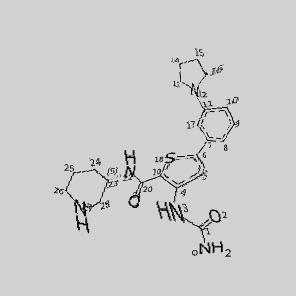 NC(=O)Nc1cc(-c2cccc(N3CCCC3)c2)sc1C(=O)N[C@H]1CCCNC1